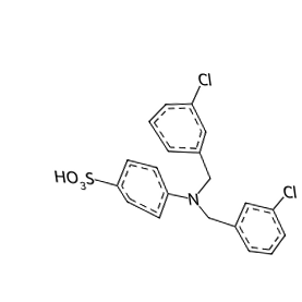 O=S(=O)(O)c1ccc(N(Cc2cccc(Cl)c2)Cc2cccc(Cl)c2)cc1